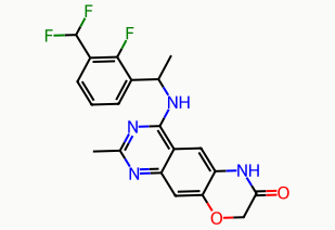 Cc1nc(NC(C)c2cccc(C(F)F)c2F)c2cc3c(cc2n1)OCC(=O)N3